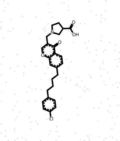 O=C(O)C1CCN(Cc2coc3cc(CCCCc4ccc(Cl)cc4)ccc3c2=O)C1